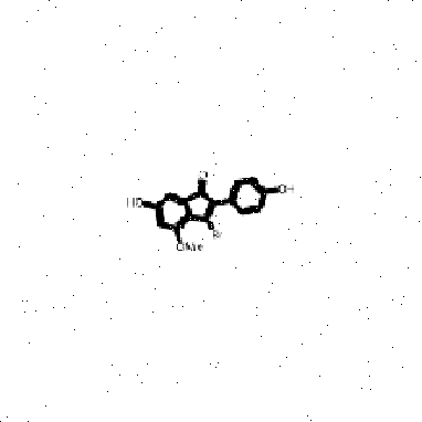 COc1cc(O)cc2c1C(Br)=C(c1ccc(O)cc1)C2=O